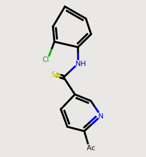 CC(=O)c1ccc(C(=S)Nc2ccccc2Cl)cn1